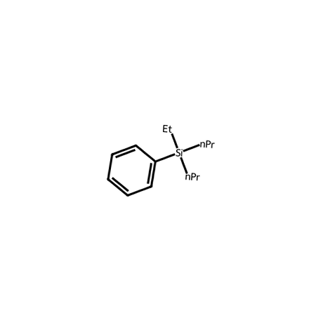 CCC[Si](CC)(CCC)c1ccccc1